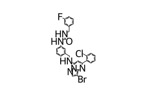 O=C(NCc1cccc(F)c1)Nc1cccc(CNc2cc(-c3ccccc3Cl)nc3c(Br)cnn23)c1